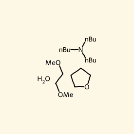 C1CCOC1.CCCCN(CCCC)CCCC.COCCOC.O